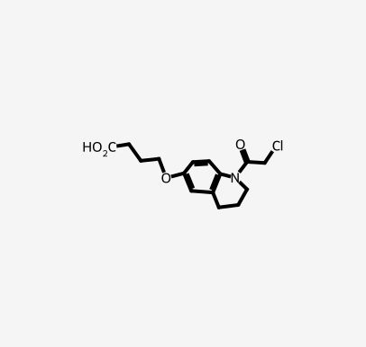 O=C(O)CCCOc1ccc2c(c1)CCCN2C(=O)CCl